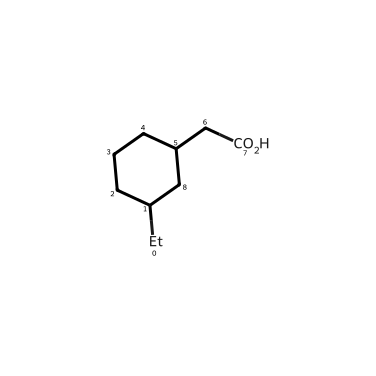 CCC1CCCC(CC(=O)O)C1